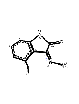 Cc1cccc2c1/C(=N/N)C(=O)N2